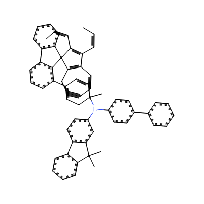 C/C=C\C1=C(/C=C\C)C2(C3=C1C=CC#CC3)c1ccccc1-c1cccc(C3=CCC(C)(N(c4ccc(-c5ccccc5)cc4)c4ccc5c(c4)C(C)(C)c4ccccc4-5)C=C3)c12